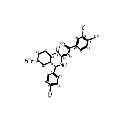 O=C(/N=C(/NCc1ccc(Cl)cc1)N[C@H]1CC[C@H](O)CC1)c1ccc(F)c(F)c1